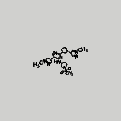 Cn1cc(-c2cccc(-c3ncc(-c4cnn(C)c4)c(N[C@H]4CCN(S(C)(=O)=O)C4)n3)c2)cn1